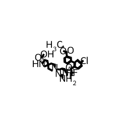 CCOC(=O)c1cccc(-c2cc(Cl)ccc2[C@@H](Oc2cc(N3CCC4(CC3)CN[C@H](C(=O)O)C4)nc(N)n2)C(F)(F)F)c1